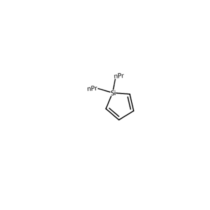 CCC[Si]1(CCC)C=CC=C1